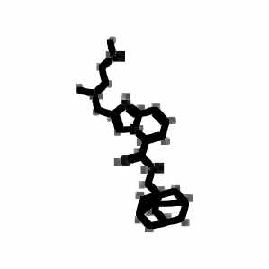 CNCCN(C)Cc1cn2c(C(=O)NCC34CC5CC(CC(C5)C3)C4)cccc2n1